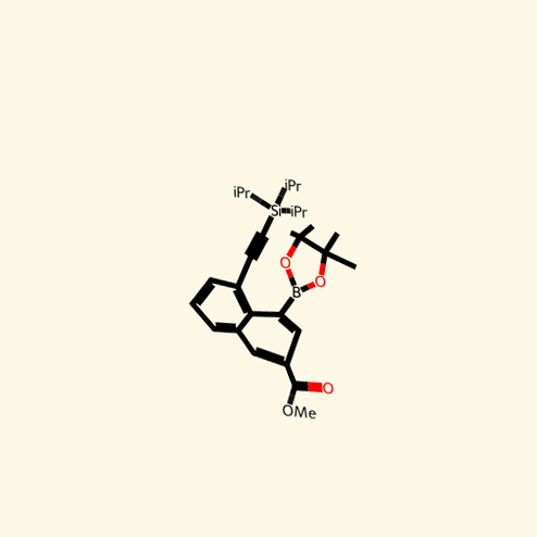 COC(=O)c1cc(B2OC(C)(C)C(C)(C)O2)c2c(C#C[Si](C(C)C)(C(C)C)C(C)C)cccc2c1